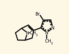 CN1C2C=C(c3c(Br)cnn3C)CC1CC2